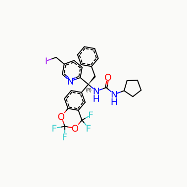 O=C(NC1CCCC1)N[C@](Cc1ccccc1)(c1ccc2c(c1)C(F)(F)OC(F)(F)O2)c1ccc(CI)cn1